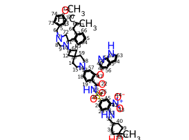 COc1ccc(CN2CCN(C3CC4(CCN(c5ccc(C(=O)NS(=O)(=O)c6ccc(NCC7CCC(C)(O)CC7)c([N+](=O)[O-])c6)c(Oc6cnc7[nH]ccc7c6)c5)CC4)C3)C(c3ccccc3CC(C)C)C2)cc1